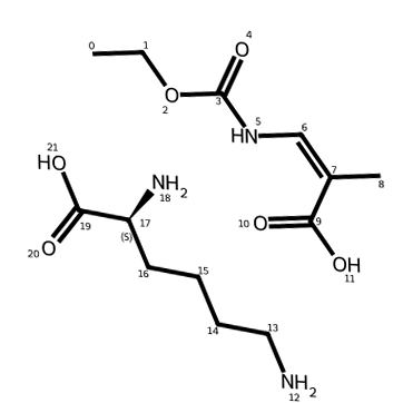 CCOC(=O)NC=C(C)C(=O)O.NCCCC[C@H](N)C(=O)O